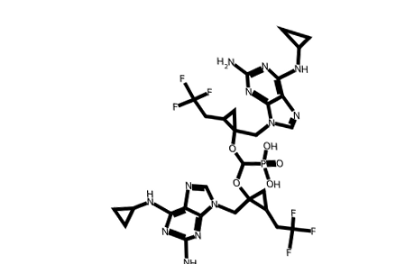 Nc1nc(NC2CC2)c2ncn(CC3(OC(OC4(Cn5cnc6c(NC7CC7)nc(N)nc65)CC4CC(F)(F)F)P(=O)(O)O)CC3CC(F)(F)F)c2n1